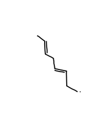 [CH2]CC=CCC=CC